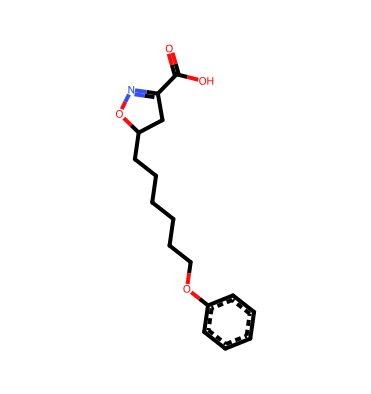 O=C(O)C1=NOC(CCCCCCOc2ccccc2)C1